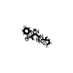 Cc1c2c(-c3nc(C4(C)CCCO4)no3)ncn2c2ccccc2[n+]1[O-]